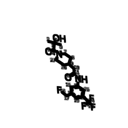 CC(C)(O)C(=O)N1CCC(CC(=O)Nc2cc(CF)cc(C(F)(F)F)c2)CC1